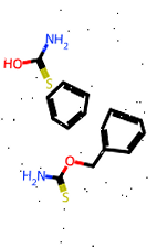 NC(=S)OCc1ccccc1.NC(O)=S.c1ccccc1